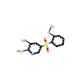 Nc1cc(S(=O)(=O)c2ccccc2OC(F)(F)F)cnc1C(=O)O